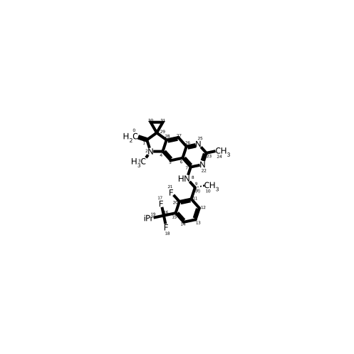 C=C1N(C)c2cc3c(N[C@H](C)c4cccc(C(F)(F)C(C)C)c4F)nc(C)nc3cc2C12CC2